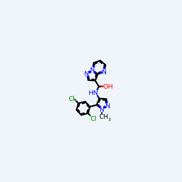 Cn1ncc(NC(O)c2cnn3cccnc23)c1-c1cc(Cl)ccc1Cl